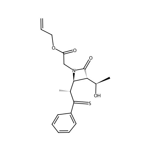 C=CCOC(=O)CN1C(=O)[C@H]([C@@H](C)O)[C@H]1[C@@H](C)C(=S)c1ccccc1